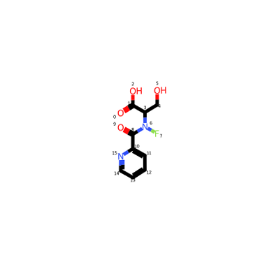 O=C(O)C(CO)N(F)C(=O)c1ccccn1